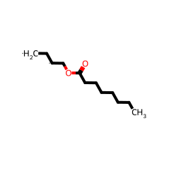 [CH2]C[CH]COC(=O)CCCCCCC